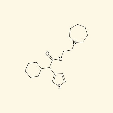 O=C(OCCN1CCCCCC1)C(c1ccsc1)C1CCCCC1